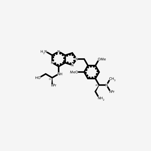 CCC[C@@H](CO)Nc1nc(N)nc2cn(Cc3c(OC)cc([C@H](CN)N(C)CCC)cc3OC)nc12